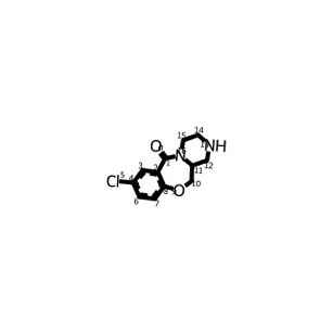 O=C1c2cc(Cl)ccc2OCC2CNCCN12